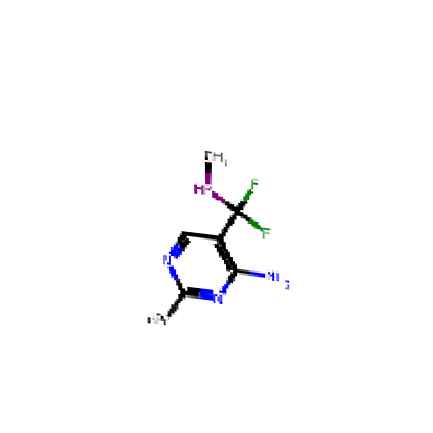 CCCc1ncc(C(F)(F)PC)c(N)n1